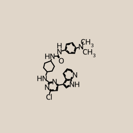 CN(C)c1ccc(NC(=O)NC2CCC(Nc3nc(Cl)cc(-c4c[nH]c5ncccc45)n3)CC2)cc1